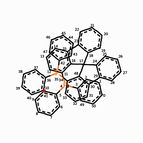 c1ccc(P(c2ccccc2)c2cccc3c2C2(c4ccccc4-3)c3ccccc3-c3cccc(P(c4ccccc4)c4ccccc4)c32)cc1